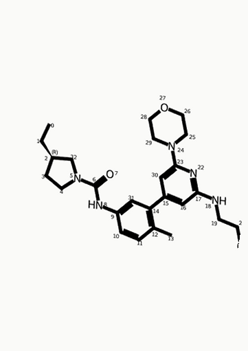 CC[C@@H]1CCN(C(=O)Nc2ccc(C)c(-c3cc(NCCO)nc(N4CCOCC4)c3)c2)C1